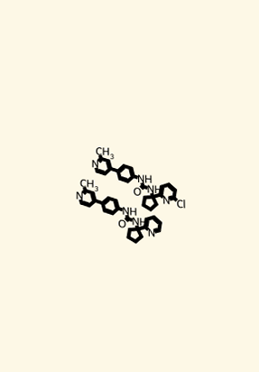 Cc1cc(-c2ccc(NC(=O)NC3(c4cccc(Cl)n4)CCCC3)cc2)ccn1.Cc1cc(-c2ccc(NC(=O)NC3(c4ccccn4)CCCC3)cc2)ccn1